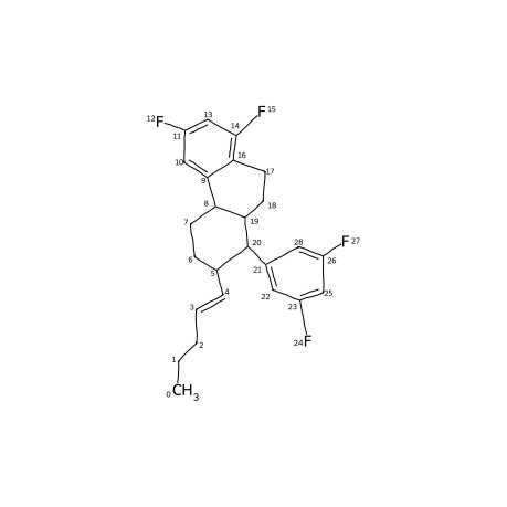 CCCC=CC1CCC2c3cc(F)cc(F)c3CCC2C1c1cc(F)cc(F)c1